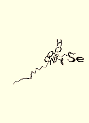 CCCCCCCCCCCC(=O)N[C@@H](CC[Se]C)C(=O)O